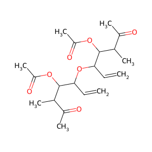 C=CC(OC(C=C)C(OC(C)=O)C(C)C(C)=O)C(OC(C)=O)C(C)C(C)=O